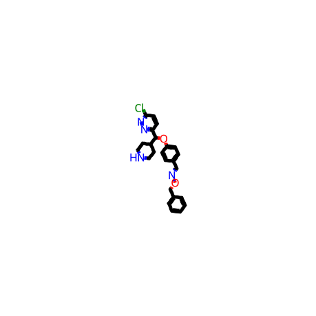 Clc1ccc(C(Oc2ccc(C=NOCc3ccccc3)cc2)C2CCNCC2)nn1